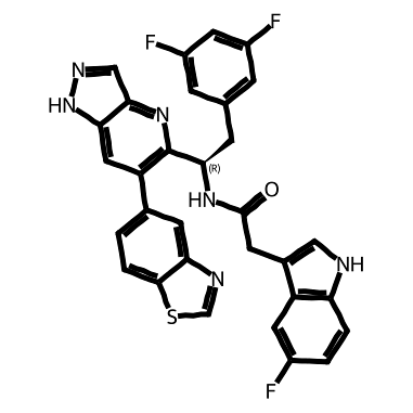 O=C(Cc1c[nH]c2ccc(F)cc12)N[C@H](Cc1cc(F)cc(F)c1)c1nc2cn[nH]c2cc1-c1ccc2scnc2c1